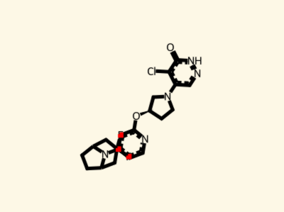 O=c1[nH]ncc(N2CC[C@@H](Oc3cc(N4C5CCC4CC(F)(F)C5)ccn3)C2)c1Cl